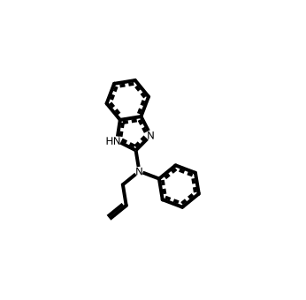 C=CCN(c1ccccc1)c1nc2ccccc2[nH]1